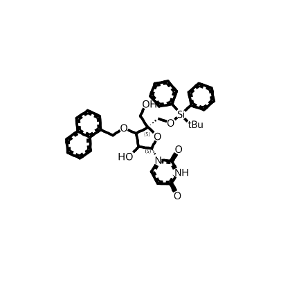 CC(C)(C)[Si](OC[C@]1(CO)O[C@H](n2ccc(=O)[nH]c2=O)C(O)C1OCc1cccc2ccccc12)(c1ccccc1)c1ccccc1